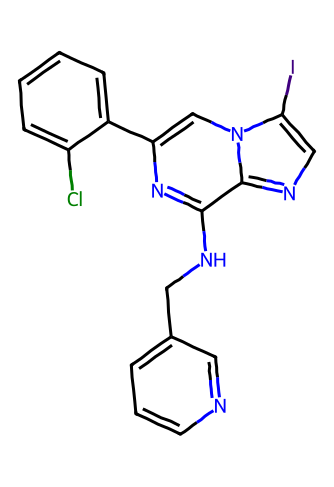 Clc1ccccc1-c1cn2c(I)cnc2c(NCc2cccnc2)n1